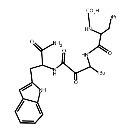 CCC(C)C(NC(=O)C(CC(C)C)NC(=O)O)C(=O)C(=O)NC(Cc1cc2ccccc2[nH]1)C(N)=O